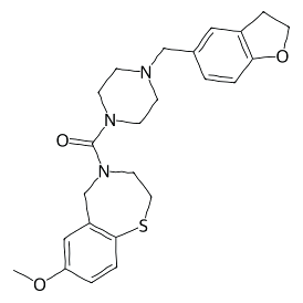 COc1ccc2c(c1)CN(C(=O)N1CCN(Cc3ccc4c(c3)CCO4)CC1)CCS2